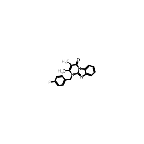 Cc1c(C)n(Cc2ccc(F)cc2)c2nc3ccccc3n2c1=O